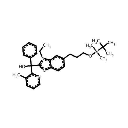 CCn1c(C(O)(c2ccccc2)c2ncccc2C)nc2ccc(CCCO[Si](C)(C)C(C)(C)C)cc21